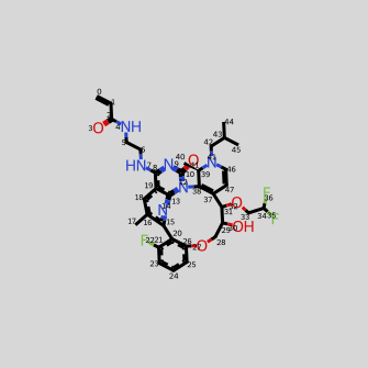 C=CC(=O)NCCNc1nc(=O)n2c3nc(c(C)cc13)-c1c(F)cccc1OCC(O)C(OCC(F)F)C1=C2[C@@H](C)N(CC(C)C)C=C1